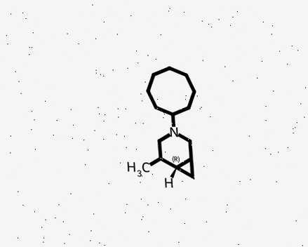 CC1CN(C2CCCCCCC2)CC2C[C@H]12